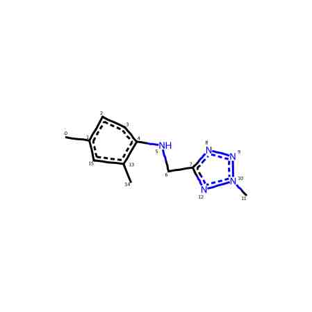 Cc1ccc(NCc2nnn(C)n2)c(C)c1